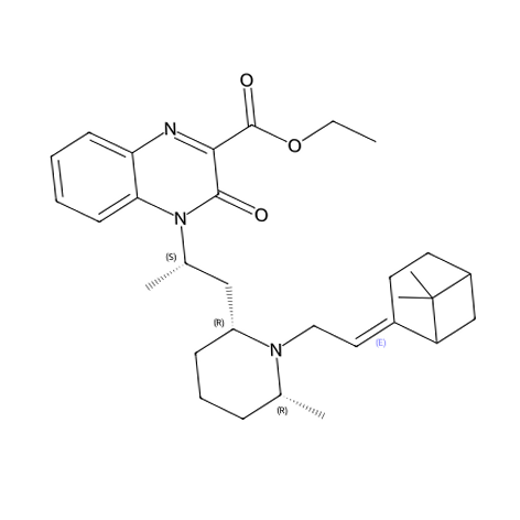 CCOC(=O)c1nc2ccccc2n([C@@H](C)C[C@H]2CCC[C@@H](C)N2C/C=C2\CCC3CC2C3(C)C)c1=O